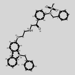 CS(=O)(=O)N(Cc1ccccc1)c1cccc(C(=O)CNCCOc2ccc3c4ccccc4n(Cc4ccccc4)c3c2)c1